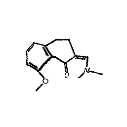 COc1cccc2c1C(=O)C(=CN(C)C)CC2